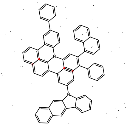 c1ccc(-c2ccc(N(c3ccc(-c4ccccc4)c(-c4cccc5ccccc45)c3)c3ccccc3-c3cccc(-n4c5ccccc5c5cc6ccccc6cc54)c3)c(-c3ccccc3)c2)cc1